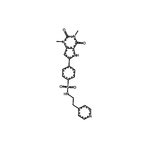 Cn1c(=O)c2[nH]c(-c3ccc(S(=O)(=O)NCCc4ccncc4)cc3)cc2n(C)c1=O